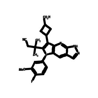 COc1cc(-n2c(C(C)(C)CC#N)c(C3CC(C(=O)O)C3)c3nc4[nH]ncc4cc32)ccc1F